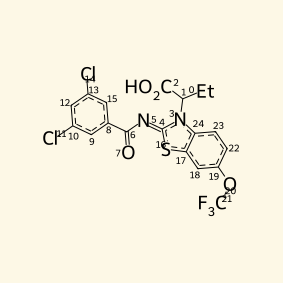 CCC(C(=O)O)n1c(=NC(=O)c2cc(Cl)cc(Cl)c2)sc2cc(OC(F)(F)F)ccc21